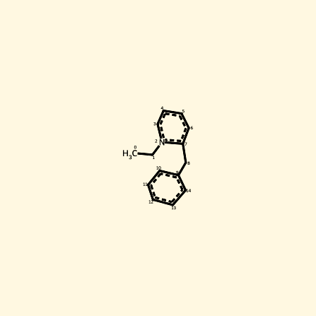 CC[n+]1ccccc1Cc1ccccc1